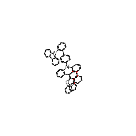 c1ccc(-c2cccc(-c3cccc(N(c4ccc(-c5ccccc5-n5c6ccccc6c6ccccc65)cc4)c4ccccc4-c4cccc5c4oc4ccccc45)c3)c2)cc1